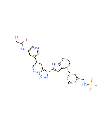 CC(C)CC(=O)Nc1cncc(-c2cnc3[nH]nc(-c4cc5c(-c6cc(F)cc(CNS(C)(=O)=O)c6)cccc5[nH]4)c3c2)c1